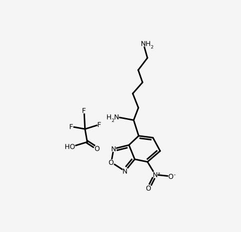 NCCCCCC(N)c1ccc([N+](=O)[O-])c2nonc12.O=C(O)C(F)(F)F